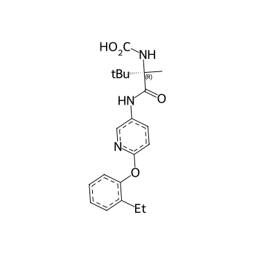 CCc1ccccc1Oc1ccc(NC(=O)[C@](C)(NC(=O)O)C(C)(C)C)cn1